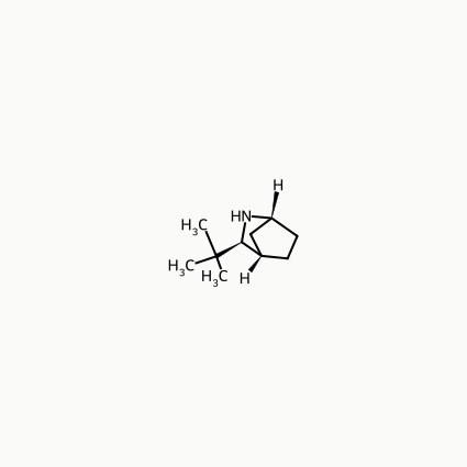 CC(C)(C)[C@H]1N[C@@H]2CC[C@H]1C2